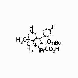 CCCCOC(C(=O)O)c1c(C(C)C)nc2c(c1-c1ccc(F)cc1)CNCC2(C)C